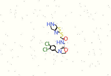 O=C(CSc1nc2c(s1)CNCC2)NC[C@H]1CN(Cc2ccc(Cl)c(Cl)c2)CCO1